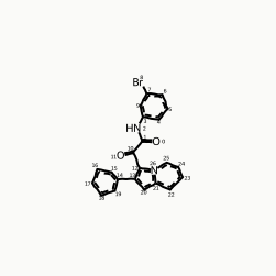 O=C(Nc1cccc(Br)c1)C(=O)c1c(-c2ccccc2)cc2ccccn12